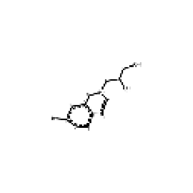 OCC(O)CN1C=Nc2ccc(Br)cc2C1